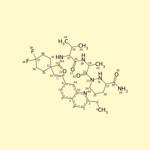 CCc1ccc2ccc(/C=C/C3(C(=O)NC(C(=O)NC(C)C(=O)N4CCCC(C(N)=O)N4)C(C)C)CCC(F)(F)CC3)cc2n1